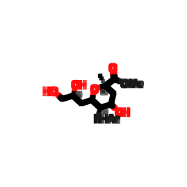 COC(=O)[C@@]1(C)CC(O)[C@@H](NC(C)=O)C(C[C@H](O)CO)O1